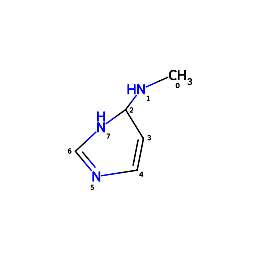 CNC1C=CN=CN1